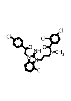 CN(CCCn1c(=N)n(CC(=O)c2ccc(Cl)cc2)c2cccc(Cl)c21)C(=O)c1ccc(Cl)cc1Cl